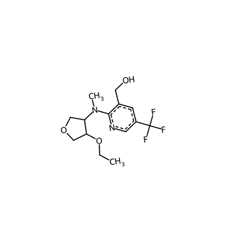 CCOC1COCC1N(C)c1ncc(C(F)(F)F)cc1CO